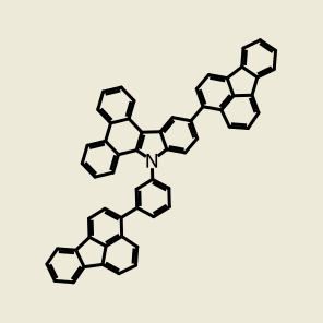 c1cc(-c2ccc3c4c(cccc24)-c2ccccc2-3)cc(-n2c3ccc(-c4ccc5c6c(cccc46)-c4ccccc4-5)cc3c3c4ccccc4c4ccccc4c32)c1